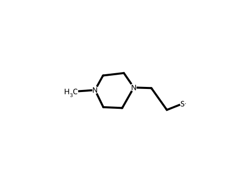 CN1CCN(CC[S])CC1